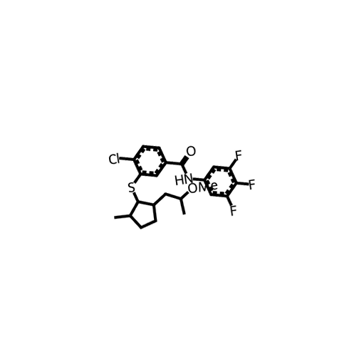 COC(C)CC1CCC(C)C1Sc1cc(C(=O)Nc2cc(F)c(F)c(F)c2)ccc1Cl